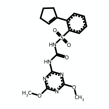 COc1nc(NC(=O)NS(=O)(=O)c2ccccc2C2=CCCC2)nc(OC)n1